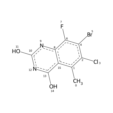 Cc1c(Cl)c(Br)c(F)c2nc(O)nc(O)c12